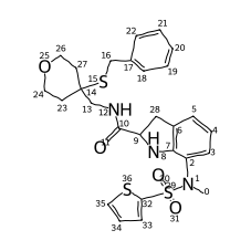 CN(c1cccc2c1NC(C(=O)NCC1(SCc3ccccc3)CCOCC1)C2)S(=O)(=O)c1cccs1